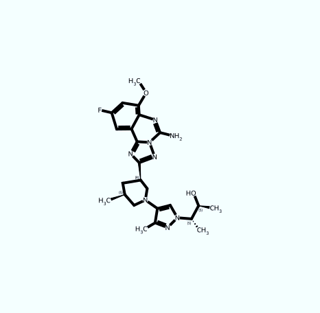 COc1cc(F)cc2c1nc(N)n1nc([C@@H]3C[C@H](C)CN(c4cn([C@@H](C)[C@H](C)O)nc4C)C3)nc21